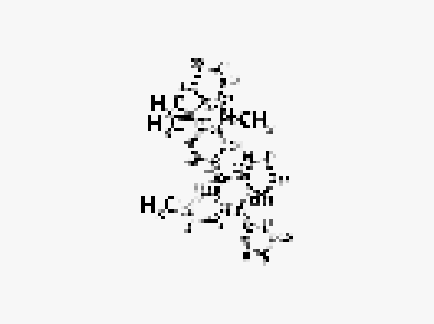 Cc1ccc2c(-c3ccccc3)c3ccccc3c(-c3ccc4c(c3)N(C)c3ccccc3C4(C)C)c2c1